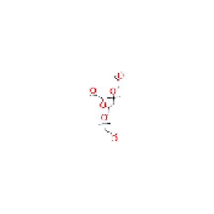 CC(C)(CC1CO1)OCC(CC(C)(C)OCC1CO1)OCC1CO1